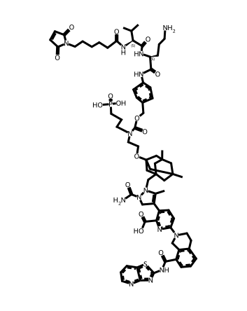 CC1=C(c2ccc(N3CCc4cccc(C(=O)Nc5nc6ncccc6s5)c4C3)nc2C(=O)O)CN(C(N)=O)N1CC12CC3(C)CC(C)(C1)CC(OCCN(CCCP(=O)(O)O)C(=O)OCc1ccc(NC(=O)[C@H](CCCN)NC(=O)[C@@H](NC(=O)CCCCCN4C(=O)C=CC4=O)C(C)C)cc1)(C3)C2